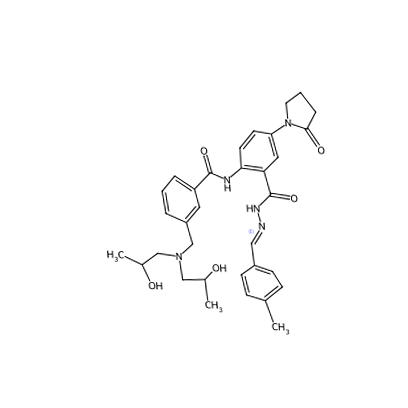 Cc1ccc(/C=N/NC(=O)c2cc(N3CCCC3=O)ccc2NC(=O)c2cccc(CN(CC(C)O)CC(C)O)c2)cc1